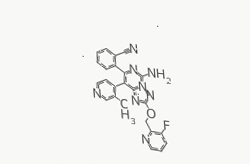 Cc1cnccc1-c1c(-c2ccccc2C#N)nc(N)n2nc(OCc3ncccc3F)nc12